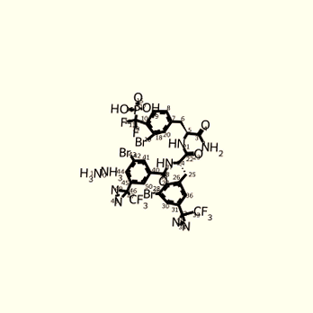 N.N.NC(=O)[C@H](Cc1ccc(C(F)(F)P(=O)(O)O)c(Br)c1)NC(=O)[C@H](Cc1cc(Br)cc(C2(C(F)(F)F)N=N2)c1)NC(=O)c1cc(Br)cc(C2(C(F)(F)F)N=N2)c1